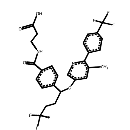 Cc1cc(OC(CCC(F)(F)F)c2ccc(C(=O)NCCC(=O)O)cc2)cnc1-c1ccc(C(F)(F)F)cc1